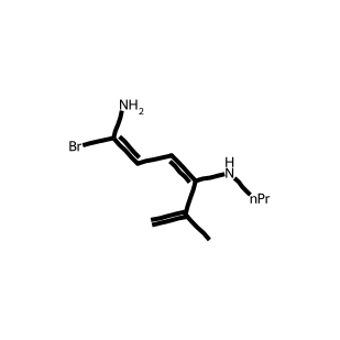 C=C(C)/C(=C\C=C(/N)Br)NCCC